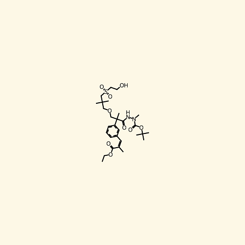 CCOC(=O)C(C)=Cc1cccc(C(C)(COCC(C)(C)CS(=O)(=O)CCO)C(=O)NN(C)C(=O)OC(C)(C)C)c1